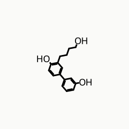 OCCCCc1cc(-c2cccc(O)c2)ccc1O